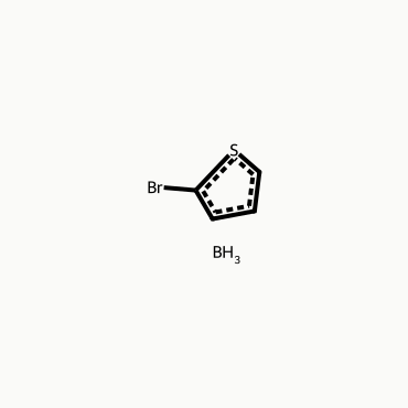 B.Brc1cccs1